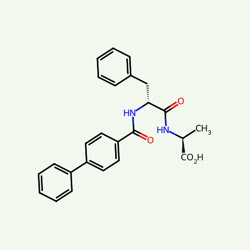 C[C@H](NC(=O)[C@@H](Cc1ccccc1)NC(=O)c1ccc(-c2ccccc2)cc1)C(=O)O